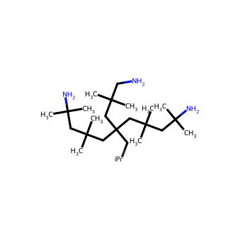 CC(C)CC(CC(C)(C)CN)(CC(C)(C)CC(C)(C)N)CC(C)(C)CC(C)(C)N